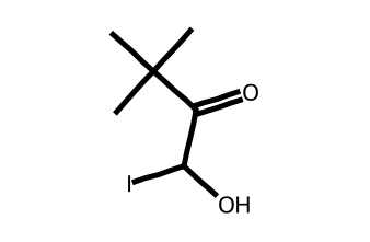 CC(C)(C)C(=O)C(O)I